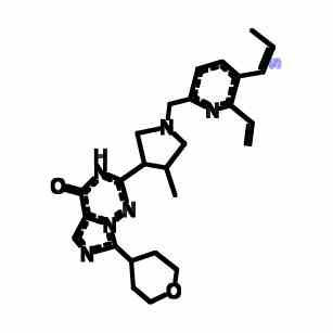 C=Cc1nc(CN2CC(C)C(c3nn4c(C5CCOCC5)ncc4c(=O)[nH]3)C2)ccc1/C=C\C